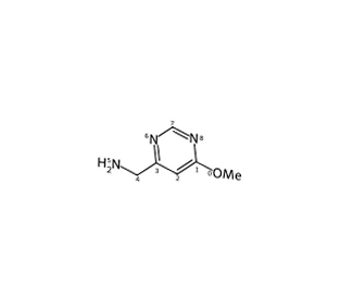 COc1cc(CN)ncn1